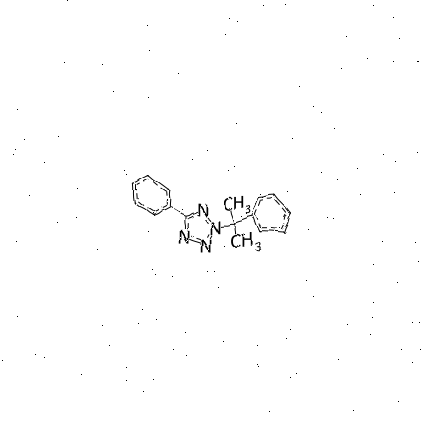 CC(C)(c1ccccc1)n1nnc(-c2ccccc2)n1